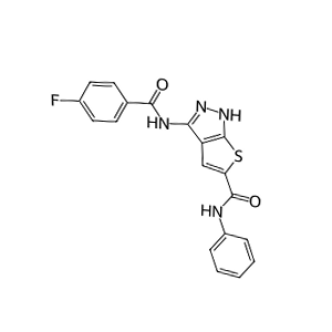 O=C(Nc1n[nH]c2sc(C(=O)Nc3ccccc3)cc12)c1ccc(F)cc1